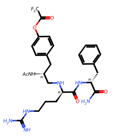 CC(=O)N[C@@H](CN[C@H](CCCNC(=N)N)C(=O)N[C@H](Cc1ccccc1)C(N)=O)Cc1ccc(OC(=O)C(F)(F)F)cc1